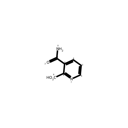 NC(=O)c1cccnc1C(=O)O